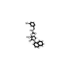 O=C(NCc1cccc(Br)c1)O[C@]1(O)CCN(c2cccc3ccccc23)C1=O